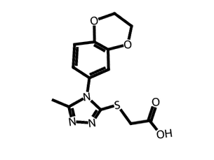 Cc1nnc(SCC(=O)O)n1-c1ccc2c(c1)OCCO2